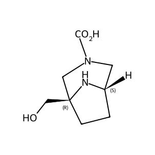 O=C(O)N1C[C@@H]2CC[C@](CO)(C1)N2